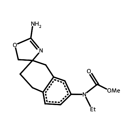 CCN(C(=O)OC)c1ccc2c(c1)CC1(CC2)COC(N)=N1